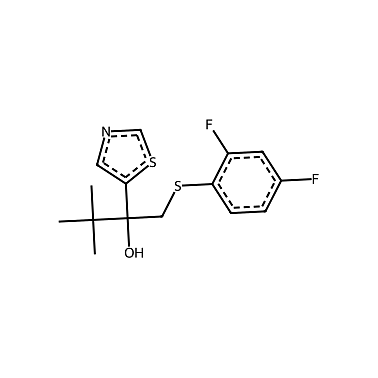 CC(C)(C)C(O)(CSc1ccc(F)cc1F)c1cncs1